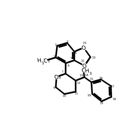 Cc1ccc2c(c1C1OCCCC1C(C)c1ccccc1)OCO2